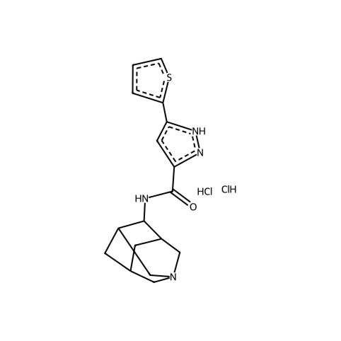 Cl.Cl.O=C(NC1C2CC3CC1CN(C3)C2)c1cc(-c2cccs2)[nH]n1